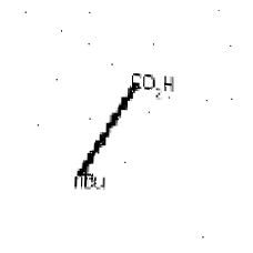 CCCCC=CCC=CCCCCCCCCCCCCCCCC(=O)O